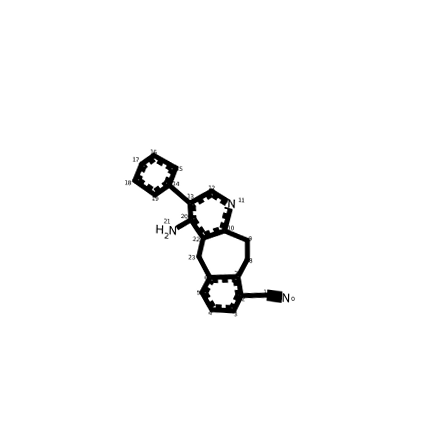 N#Cc1cccc2c1CCc1ncc(-c3ccccc3)c(N)c1C2